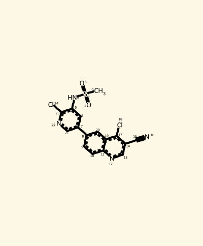 CS(=O)(=O)Nc1cc(-c2ccc3ncc(C#N)c(Cl)c3c2)cnc1Cl